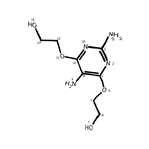 Nc1nc(OCCO)c(N)c(OCCO)n1